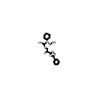 N=NN(C(=N)SCC(=O)c1nnc(-c2ccccc2)o1)c1ccccc1